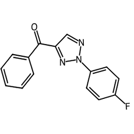 O=C(c1ccccc1)c1cnn(-c2ccc(F)cc2)n1